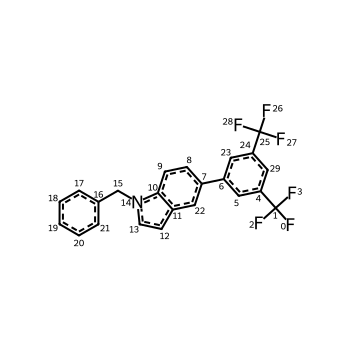 FC(F)(F)c1cc(-c2ccc3c(ccn3Cc3ccccc3)c2)cc(C(F)(F)F)c1